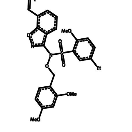 C=Cc1cccc2c(N(OCc3ccc(OC)cc3OC)S(=O)(=O)c3cc(CC)ccc3OC)noc12